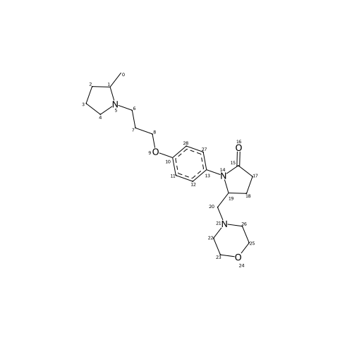 CC1CCCN1CCCOc1ccc(N2C(=O)CCC2CN2CCOCC2)cc1